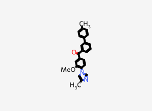 COc1cc(C(=O)c2cccc(-c3ccc(C)cc3)c2)ccc1-n1cnc(C)c1